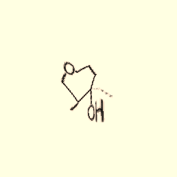 CC1COCC[C@@]1(C)O